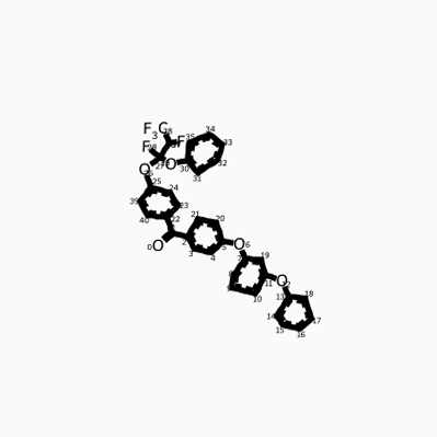 O=C(c1ccc(Oc2cccc(Oc3ccccc3)c2)cc1)c1ccc(OC(F)(Oc2ccccc2)C(F)C(F)(F)F)cc1